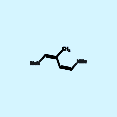 CN/C=C\C(C)=C/NC